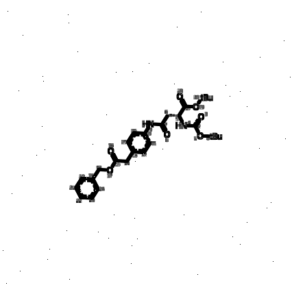 CC(C)(C)OC(=O)N[C@H](CC(=O)Nc1ccc(CC(=O)OCc2ccccc2)cc1)C(=O)OC(C)(C)C